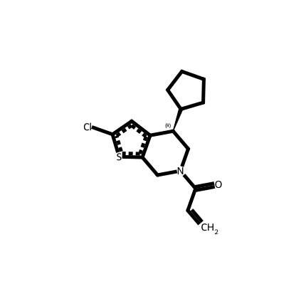 C=CC(=O)N1Cc2sc(Cl)cc2[C@@H](C2CCCC2)C1